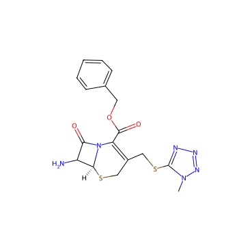 Cn1nnnc1SCC1=C(C(=O)OCc2ccccc2)N2C(=O)C(N)[C@@H]2SC1